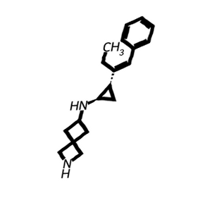 CC/C(=C\c1ccccc1)[C@@H]1C[C@H]1NC1CC2(CNC2)C1